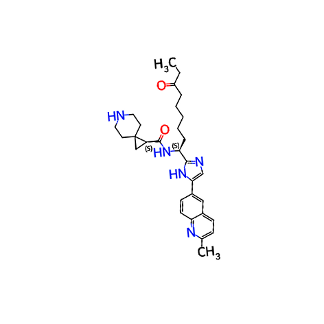 CCC(=O)CCCCC[C@H](NC(=O)[C@H]1CC12CCNCC2)c1ncc(-c2ccc3nc(C)ccc3c2)[nH]1